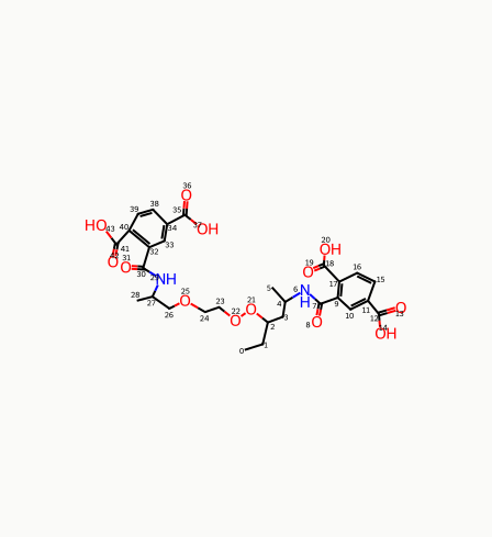 CCC(CC(C)NC(=O)c1cc(C(=O)O)ccc1C(=O)O)OOCCOCC(C)NC(=O)c1cc(C(=O)O)ccc1C(=O)O